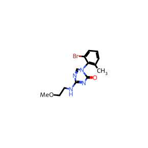 COCCNc1ncn(-c2c(C)cccc2Br)c(=O)n1